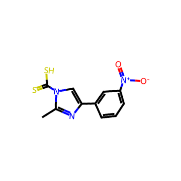 Cc1nc(-c2cccc([N+](=O)[O-])c2)cn1C(=S)S